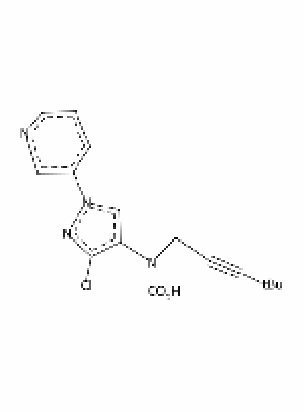 CC(C)(C)C#CCN(C(=O)O)c1cn(-c2cccnc2)nc1Cl